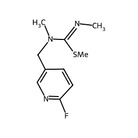 C/N=C(\SC)N(C)Cc1ccc(F)nc1